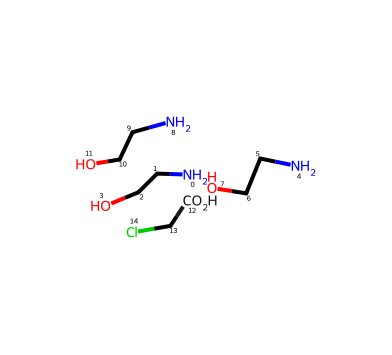 NCCO.NCCO.NCCO.O=C(O)CCl